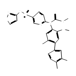 CNC(=O)N(c1ccc(S(=O)(=O)Nc2ccon2)cn1)c1cc(Cl)c(-c2ccc(C)c(Cl)c2)cc1OC